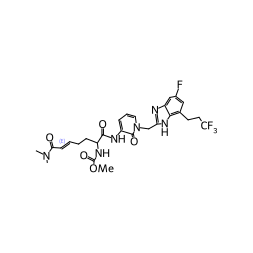 COC(=O)NC(CC/C=C/C(=O)N(C)C)C(=O)Nc1cccn(Cc2nc3cc(F)cc(CCC(F)(F)F)c3[nH]2)c1=O